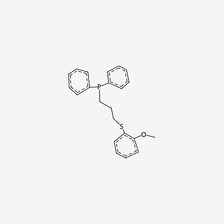 COc1ccccc1SCCCP(c1ccccc1)c1ccccc1